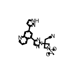 CS(=O)(=O)N1CC(CC#N)(n2ncc(-c3cc(-c4cc[nH]n4)cc4ncccc34)n2)C1